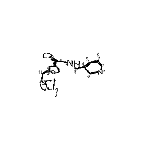 O=C(NCc1cccnc1)OCC(Cl)(Cl)Cl